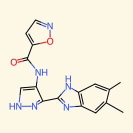 Cc1cc2nc(-c3n[nH]cc3NC(=O)c3ccno3)[nH]c2cc1C